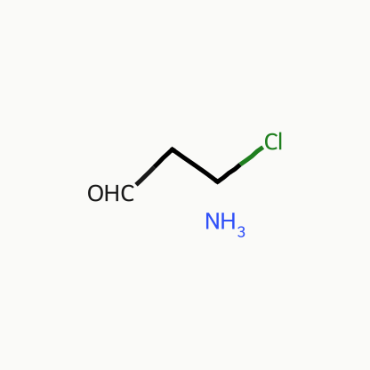 N.O=CCCCl